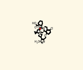 Cn1nnc(COc2ccc(Cl)c3c2[C@@H](CN2CC4(CC4)CC2=O)N(C(=O)[C@@H]2CCCC[C@]2(C)C(=O)O)CC3)c1C1COC1